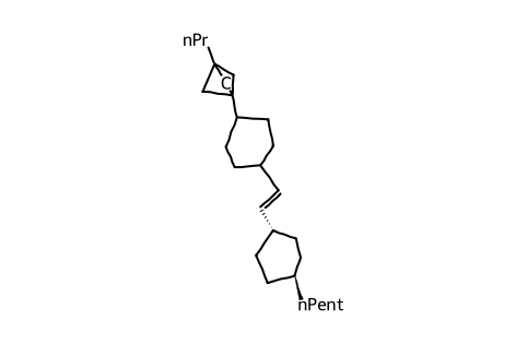 CCCCC[C@H]1CC[C@H](/C=C/C2CCC(C34CC(CCC)(C3)C4)CC2)CC1